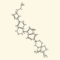 C[C@@H]1OCC2(CCN(c3cnc4c(N5CCCc6nc(-c7cnn(CCO)c7)ccc65)n[nH]c4n3)CC2)[C@@H]1N